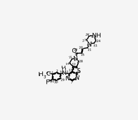 Cc1cc(Nc2ncnc3sc4c(c23)CCN(C(=O)/C=C/CN2CCNCC2)C4)ccc1F